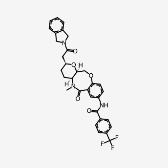 CN1C(=O)c2cc(NC(=O)c3ccc(C(F)(F)F)cc3)ccc2OC[C@@H]2O[C@H](CC(=O)N3Cc4ccccc4C3)CC[C@@H]21